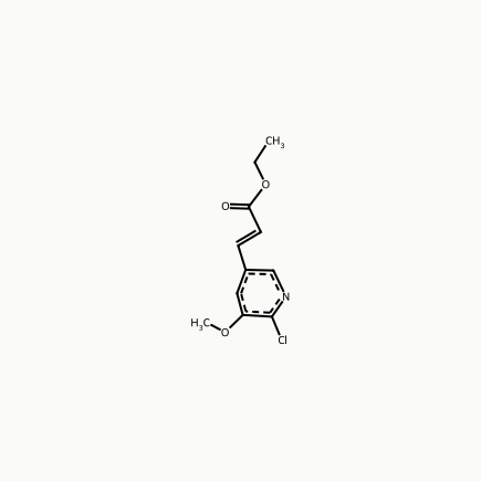 CCOC(=O)/C=C/c1cnc(Cl)c(OC)c1